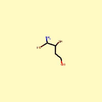 NC(S)C(S)CCO